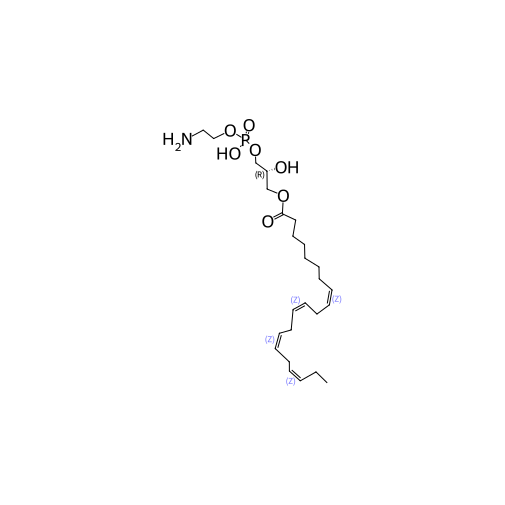 CC/C=C\C/C=C\C/C=C\C/C=C\CCCCCCC(=O)OC[C@@H](O)COP(=O)(O)OCCN